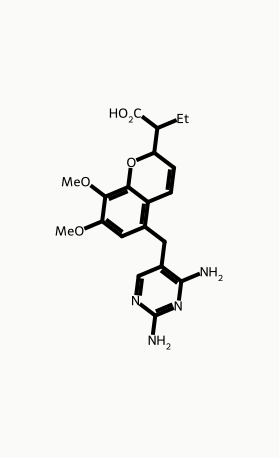 CCC(C(=O)O)C1C=Cc2c(Cc3cnc(N)nc3N)cc(OC)c(OC)c2O1